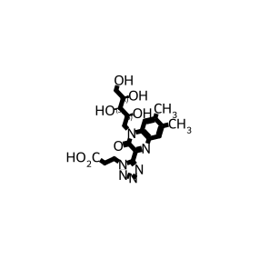 Cc1cc2nc(-c3nnnn3CCC(=O)O)c(=O)n(C[C@H](O)[C@H](O)[C@H](O)CO)c2cc1C